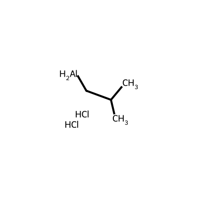 CC(C)[CH2][AlH2].Cl.Cl